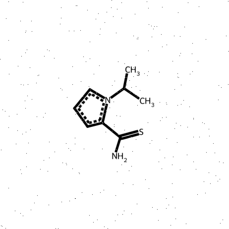 CC(C)n1cccc1C(N)=S